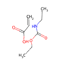 C=CC(=O)O.CCNC(=O)OCC